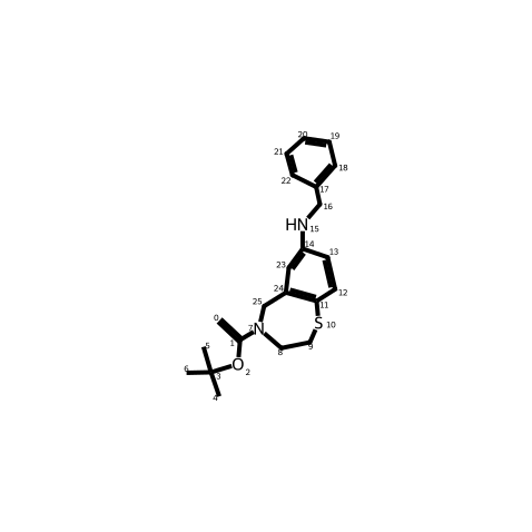 C=C(OC(C)(C)C)N1CCSc2ccc(NCc3ccccc3)cc2C1